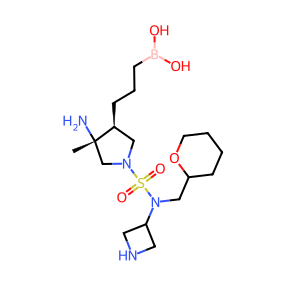 C[C@]1(N)CN(S(=O)(=O)N(CC2CCCCO2)C2CNC2)C[C@@H]1CCCB(O)O